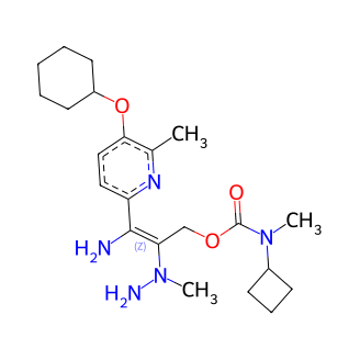 Cc1nc(/C(N)=C(\COC(=O)N(C)C2CCC2)N(C)N)ccc1OC1CCCCC1